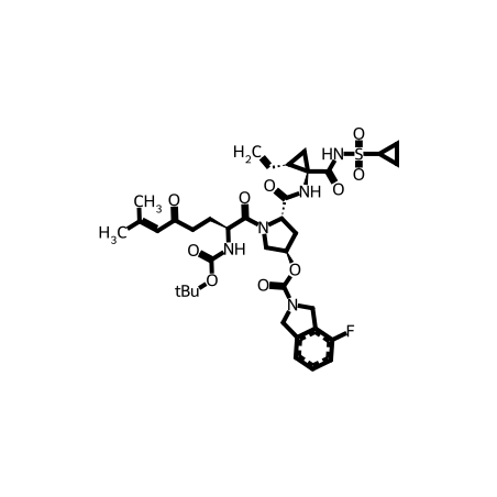 C=C[C@@H]1C[C@]1(NC(=O)[C@@H]1C[C@@H](OC(=O)N2Cc3cccc(F)c3C2)CN1C(=O)[C@H](CCC(=O)C=C(C)C)NC(=O)OC(C)(C)C)C(=O)NS(=O)(=O)C1CC1